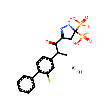 CC(C(=O)C1=NNC(P(=O)(O)O)(P(=O)(O)O)C1)c1ccc(-c2ccccc2)c(F)c1.[KH].[KH]